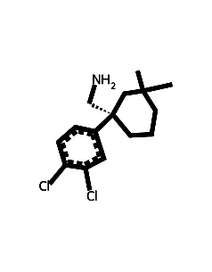 CC1(C)CCC[C@@](CN)(c2ccc(Cl)c(Cl)c2)C1